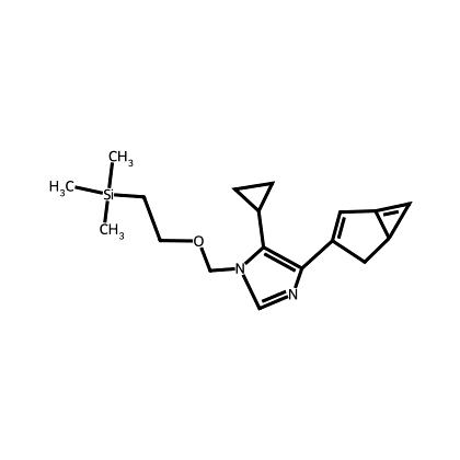 C[Si](C)(C)CCOCn1cnc(C2=CC3=CC3C2)c1C1CC1